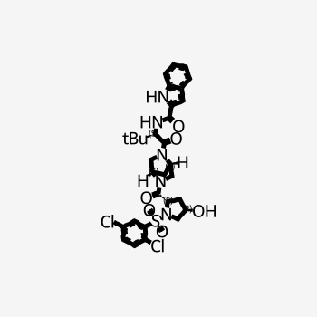 CC(C)(C)[C@H](NC(=O)c1cc2ccccc2[nH]1)C(=O)N1C[C@@H]2C[C@H]1CN2C(=O)[C@@H]1C[C@@H](O)CN1S(=O)(=O)c1cc(Cl)ccc1Cl